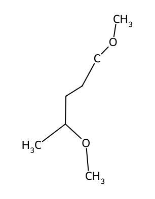 COCCCC(C)OC